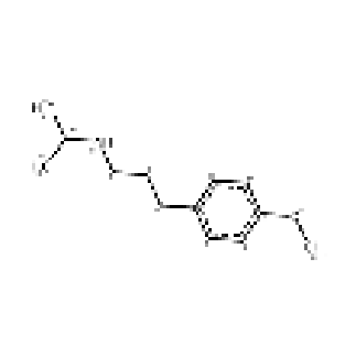 COc1ccc(CCCNC(C)C)cc1